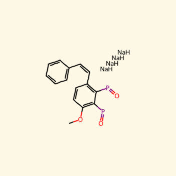 COc1ccc(/C=C\c2ccccc2)c(P=O)c1P=O.[NaH].[NaH].[NaH].[NaH]